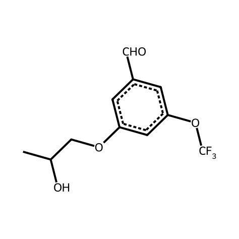 CC(O)COc1cc(C=O)cc(OC(F)(F)F)c1